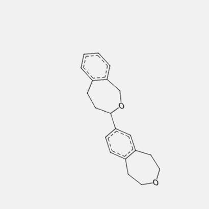 c1ccc2c(c1)CCC(c1ccc3c(c1)CCOCC3)OC2